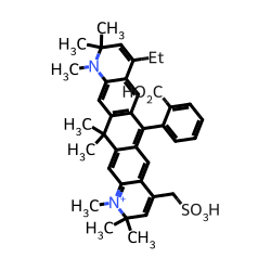 CCC1=CC(C)(C)N(C)c2cc3c(cc21)C(c1ccccc1C(=O)O)=c1cc2c(cc1C3(C)C)=[N+](C)C(C)(C)C=C2CS(=O)(=O)O